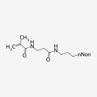 C=C(C)C(=O)NCCC(=O)NCCCCCCCCCCCC